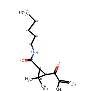 C=C(C)C(=O)C1C(C(=O)NCCCCC(=O)O)C1(C)C